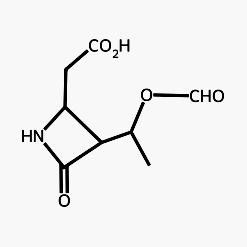 CC(OC=O)C1C(=O)NC1CC(=O)O